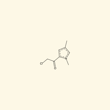 Cc1cc(C(=O)CCl)n(C)c1